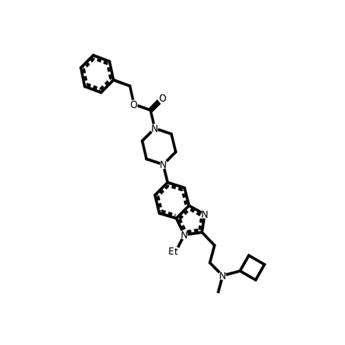 CCn1c(CCN(C)C2CCC2)nc2cc(N3CCN(C(=O)OCc4ccccc4)CC3)ccc21